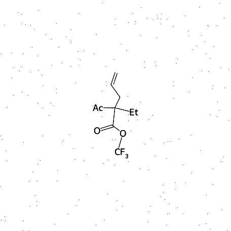 C=CCC(CC)(C(C)=O)C(=O)OC(F)(F)F